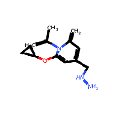 C=C(C)N1C(=C)C=C(CNN)C=C1OC1CC1